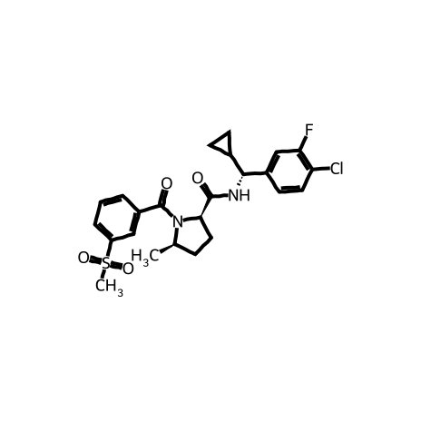 C[C@@H]1CC[C@H](C(=O)N[C@@H](c2ccc(Cl)c(F)c2)C2CC2)N1C(=O)c1cccc(S(C)(=O)=O)c1